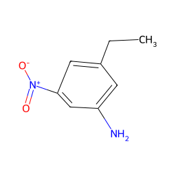 CCc1cc(N)cc([N+](=O)[O-])c1